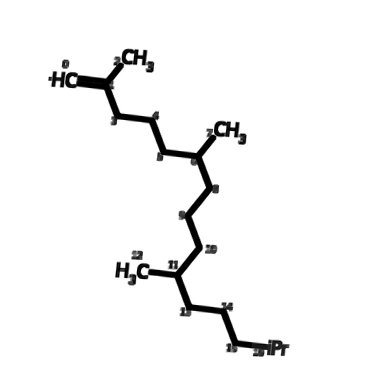 [CH]=C(C)CCCC(C)CCCC(C)CCCC(C)C